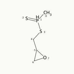 C[PH](=S)SCC1CO1